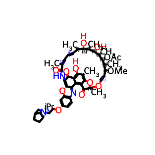 CO[C@H]1/C=C/O[C@@]2(C)Oc3c(C)c(O)c4c(=O)c(c5oc6cc(OCC[N+]7(C(C)C)CC8CCC7C8)ccc6nc-5c4c3C2=O)NC(=O)/C(C)=C\C=C\[C@H](C)[C@H](O)[C@@H](C)[C@@H](O)[C@@H](C)[C@H](OC(C)=O)[C@@H]1C